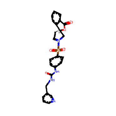 O=C(NCc1cccnc1)Nc1ccc(S(=O)(=O)N2CC[C@@]3(C2)OC(=O)c2ccccc23)cc1